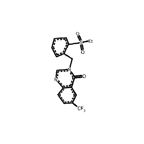 CCS(=O)(=O)c1ccccc1Cn1cnc2ccc(C(F)(F)F)cc2c1=O